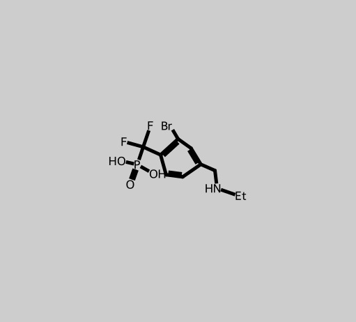 CCNCc1ccc(C(F)(F)P(=O)(O)O)c(Br)c1